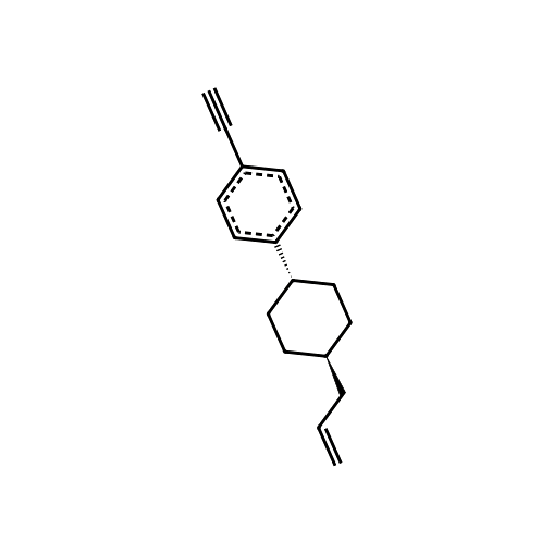 C#Cc1ccc([C@H]2CC[C@H](CC=C)CC2)cc1